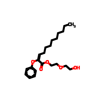 CCCCCCCCCC=C(Oc1ccccc1)C(=O)OCCOCCO